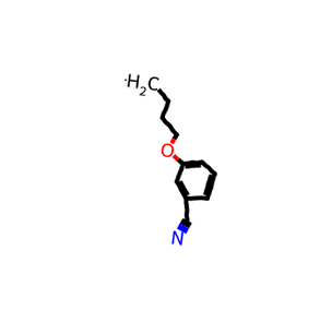 [CH2]CCCOc1cccc(C#N)c1